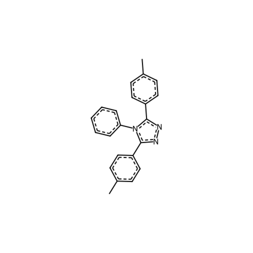 Cc1ccc(-c2nnc(-c3ccc(C)cc3)n2-c2ccccc2)cc1